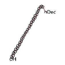 CCCCCCCCCCCCCCCCCCOCC(C)OCC(C)OCCOCCOCCOCCOCCOCCOCCOCCOCCOCCOCCOCCOCCOCCOCCOCCOCCOCCOCCOCCOCCOCCOCCOCCOCCOCCOCCOCCOCCOCCO